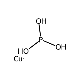 OP(O)O.[Cu]